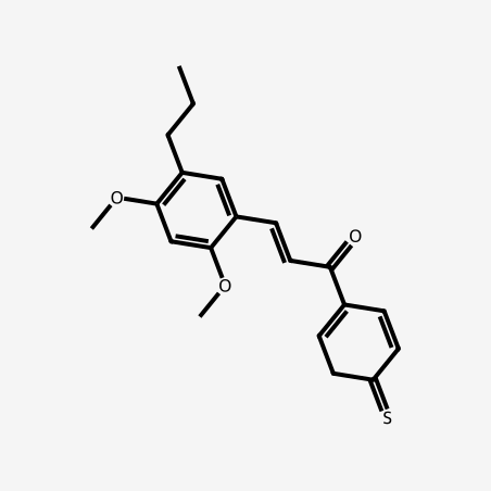 CCCc1cc(C=CC(=O)C2=CCC(=S)C=C2)c(OC)cc1OC